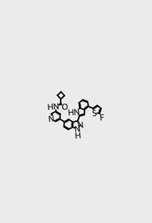 O=C(Nc1cncc(-c2ccc3[nH]nc(-c4cc5c(-c6ccc(F)s6)cccc5[nH]4)c3c2)c1)C1CCC1